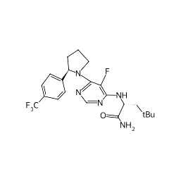 CC(C)(C)C[C@@H](Nc1ncnc(N2CCC[C@@H]2c2ccc(C(F)(F)F)cc2)c1F)C(N)=O